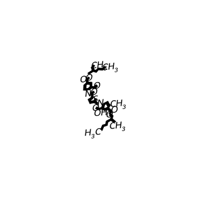 CCCCCC(CC)COC(=O)c1cc2c(cc1C)N=C(c1ccc(-c3nc4ccc(C(=O)OCC(CC)CCCC)cc4c(=O)o3)s1)OC2O